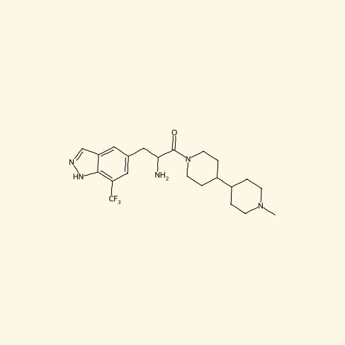 CN1CCC(C2CCN(C(=O)C(N)Cc3cc(C(F)(F)F)c4[nH]ncc4c3)CC2)CC1